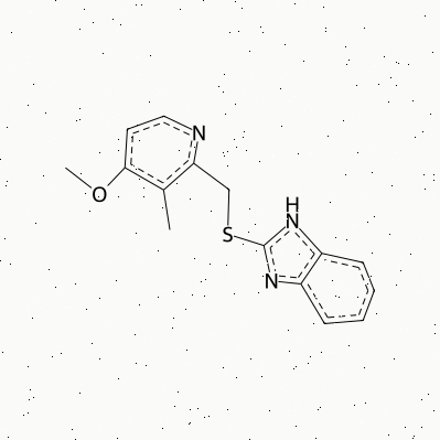 COc1ccnc(CSc2nc3ccccc3[nH]2)c1C